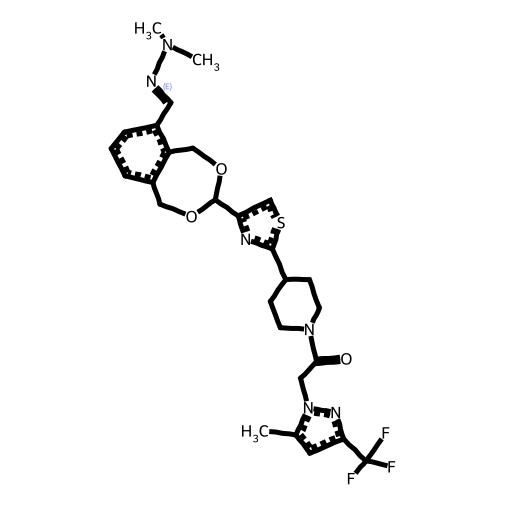 Cc1cc(C(F)(F)F)nn1CC(=O)N1CCC(c2nc(C3OCc4cccc(/C=N/N(C)C)c4CO3)cs2)CC1